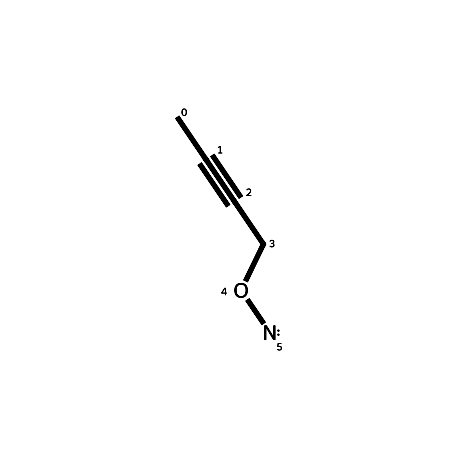 CC#CCO[N]